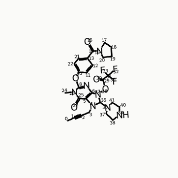 CC#CCN1c2c(nc(Oc3ccc(C(=O)N4CCCC4)cc3)n(C)c2=O)N(OC(=O)C(F)(F)F)C1N1CCNCC1